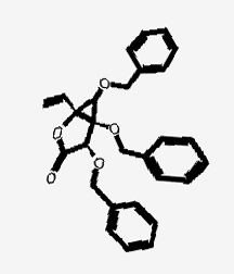 C=C[C@]12OC(=O)[C@H](OCc3ccccc3)[C@@]1(OCc1ccccc1)C2OCc1ccccc1